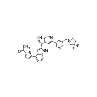 CC(=O)c1ccc(-c2nccc3[nH]c(-c4n[nH]c5cnc(-c6cncc(CN7CCC(F)(F)C7)c6)cc45)cc23)s1